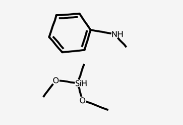 CNc1ccccc1.CO[SiH](C)OC